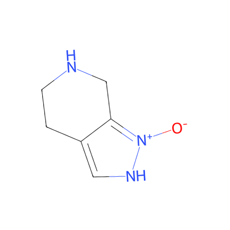 [O-][n+]1[nH]cc2c1CNCC2